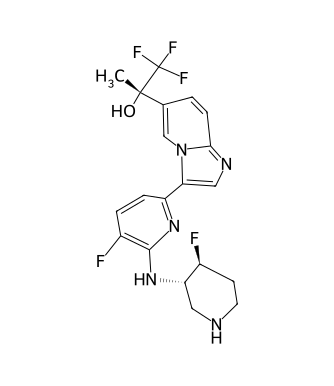 C[C@](O)(c1ccc2ncc(-c3ccc(F)c(N[C@H]4CNCC[C@@H]4F)n3)n2c1)C(F)(F)F